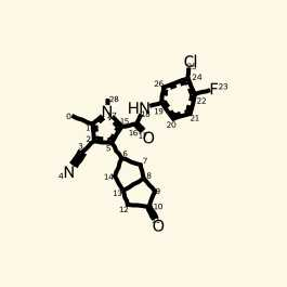 Cc1c(C#N)c(C2CC3CC(=O)CC3C2)c(C(=O)Nc2ccc(F)c(Cl)c2)n1C